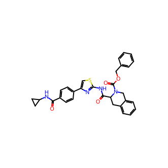 O=C(NC1CC1)c1ccc(-c2csc(NC(=O)C3Cc4ccccc4CN3C(=O)OCc3ccccc3)n2)cc1